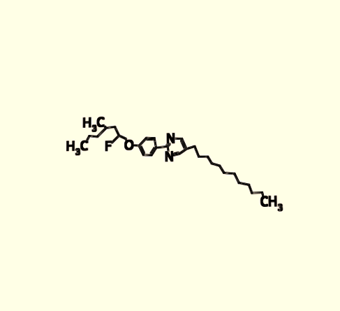 CCCCCCCCCCCCc1cnc(-c2ccc(OCC(F)CC(C)CCC)cc2)nc1